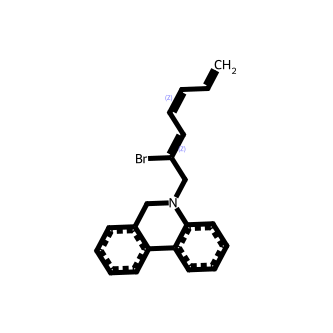 C=C/C=C\C=C(/Br)CN1Cc2ccccc2-c2ccccc21